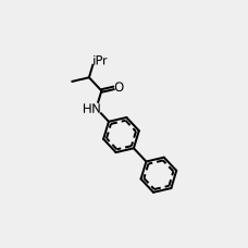 CC(C)C(C)C(=O)Nc1ccc(-c2ccccc2)cc1